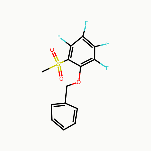 CS(=O)(=O)c1c(F)c(F)c(F)c(F)c1OCc1ccccc1